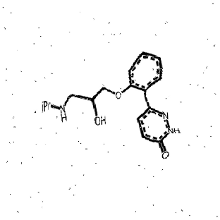 CC(C)NCC(O)COc1ccccc1-c1ccc(=O)[nH]n1